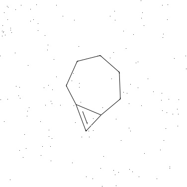 C1=C2CCCCCC12